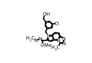 C=N/N=C(\OC)c1cc2c(ccc3nnc(C)n32)n1Cc1cc(Cl)cc(CO)c1